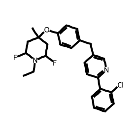 CCN1C(F)CC(C)(Oc2ccc(Cc3ccc(-c4ccccc4Cl)nc3)cc2)CC1F